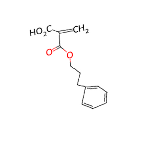 C=C(C(=O)O)C(=O)OCCCc1ccccc1